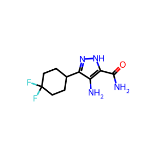 NC(=O)c1[nH]nc(C2CCC(F)(F)CC2)c1N